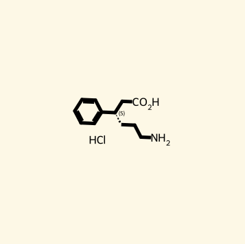 Cl.NCCC[C@@H](CC(=O)O)c1ccccc1